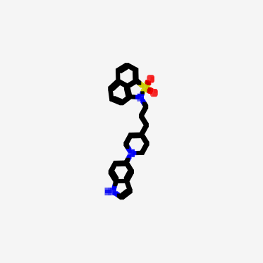 O=S1(=O)c2cccc3cccc(c23)N1CCCC1=CCN(c2ccc3[nH]ccc3c2)CC1